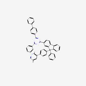 Cc1cnc(C)c(-c2ccc(C3(c4ccccc4)c4ccccc4-c4ccc(-c5nc(-c6ccccc6)nc(-c6ccc(-c7ccccc7)cc6)n5)cc43)cc2)c1